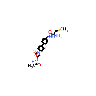 CSCC[C@H](N)C(=O)NCc1ccc(-c2ccc(N3C[C@H](CNC(C)=O)OC3=O)cc2F)cc1